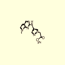 CC(C)OC(=O)Cn1cc(Nc2ncc3ccn(C)c3n2)cn1